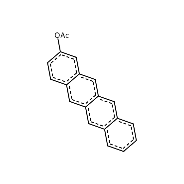 CC(=O)Oc1ccc2cc3cc4ccccc4cc3cc2c1